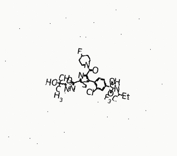 CCC(NS(=O)(=O)c1ccc(-c2sc(-c3nnc(C(C)(C)O)o3)nc2C(=O)N2CCC(F)CC2)c(Cl)c1)C(F)(F)F